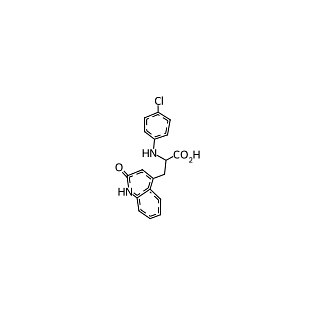 O=C(O)C(Cc1cc(=O)[nH]c2ccccc12)Nc1ccc(Cl)cc1